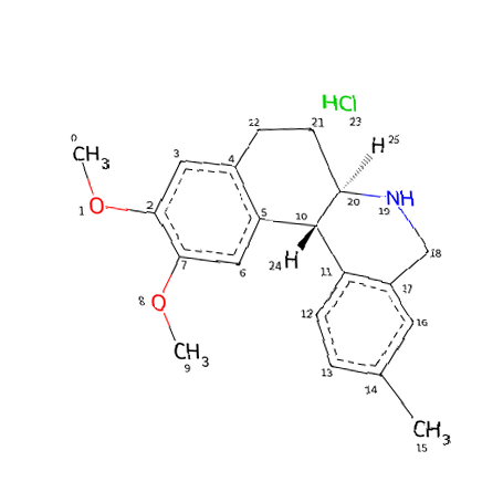 COc1cc2c(cc1OC)[C@H]1c3ccc(C)cc3CN[C@@H]1CC2.Cl